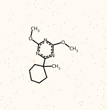 COc1nc(OC)nc(C2(C)CCCCC2)n1